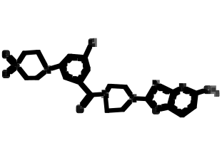 Cc1ccc2oc(N3CCN(C(=O)c4cc(Cl)cc(N5CCS(=O)(=O)CC5)c4)CC3)nc2n1